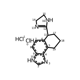 Cl.Cl.c1nc2c3c(ccc2[nH]1)C(C1=NCCN1)CCC3